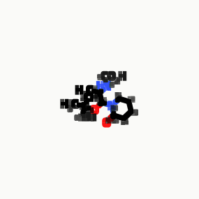 CCCC[Si](C)(C)OC(C(C)NC(=O)O)N1CCCCC1=O